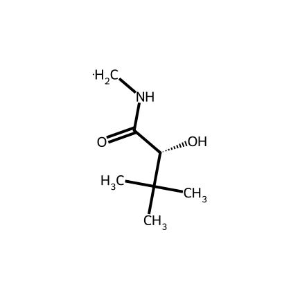 [CH2]NC(=O)[C@H](O)C(C)(C)C